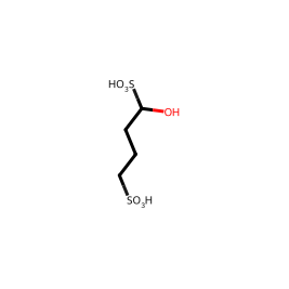 O=S(=O)(O)CCCC(O)S(=O)(=O)O